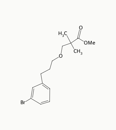 COC(=O)C(C)(C)COCCCc1cccc(Br)c1